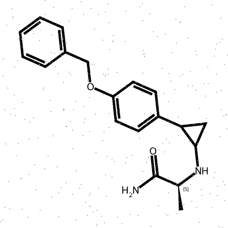 C[C@H](NC1CC1c1ccc(OCc2ccccc2)cc1)C(N)=O